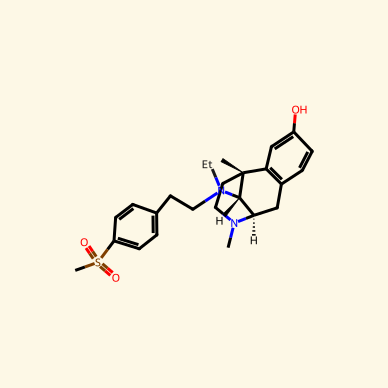 CCN(CCc1ccc(S(C)(=O)=O)cc1)[C@H]1[C@H]2Cc3ccc(O)cc3[C@@]1(C)CCN2C